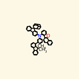 CC1(C)c2ccccc2-c2cccc(-c3cccc(N(c4ccc5c(c4)C4(c6ccccc6-5)C5CC6CC(C5)CC4C6)c4cccc5oc6c7ccccc7ccc6c45)c3)c21